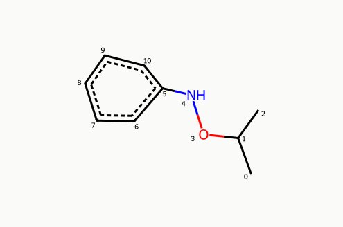 CC(C)ONc1ccccc1